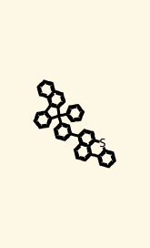 c1ccc(C2(c3cccc(-c4ccc5c6c(cccc46)-c4ccccc4S5)c3)c3ccccc3-c3c2ccc2ccccc32)cc1